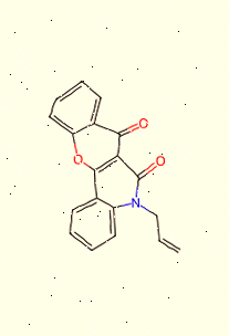 C=CCn1c(=O)c2c(=O)c3ccccc3oc2c2ccccc21